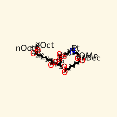 CCCCCCCCCCOC(=O)CCCCCC(=O)OCC(COC(=O)CCCCCCC(=O)OC(CCCCCCCC)CCCCCCCC)COC(=O)OCCCN(CC)CCCOC